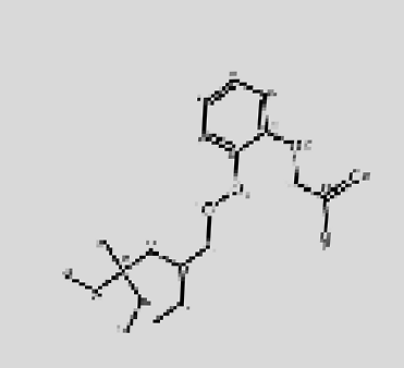 CCC(COOc1ccccc1OCC(=O)O)CC(C)(CC)CC